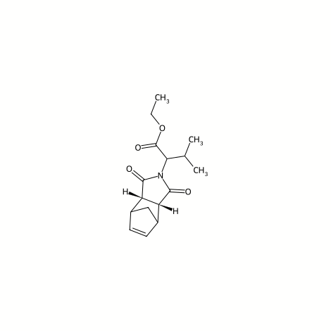 CCOC(=O)C(C(C)C)N1C(=O)[C@@H]2C3C=CC(C3)[C@@H]2C1=O